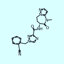 CN1C(=O)[C@@H](NC(=O)c2ncn(Cc3ccccc3C#N)n2)CCn2nccc21